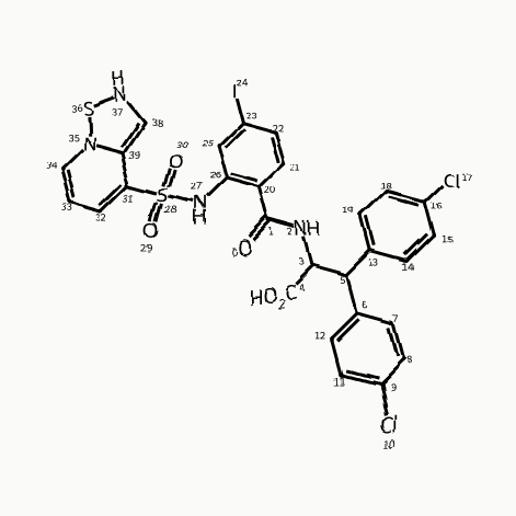 O=C(NC(C(=O)O)C(c1ccc(Cl)cc1)c1ccc(Cl)cc1)c1ccc(I)cc1NS(=O)(=O)C1=CC=CN2SNC=C12